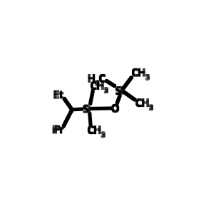 CC[C](C(C)C)[Si](C)(C)O[Si](C)(C)C